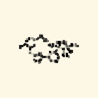 CC(C(C)(O)c1cccc(-c2nnn(Cc3cc(OC(F)(F)F)ccc3F)n2)n1)S(N)(=O)=O